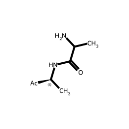 CC(=O)[C@H](C)NC(=O)C(C)N